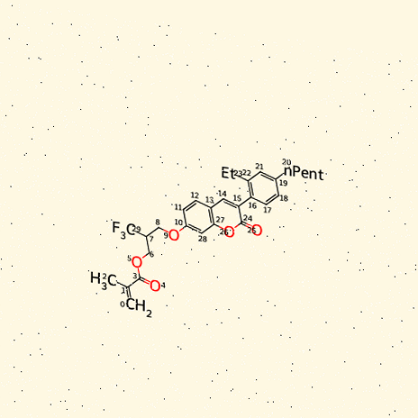 C=C(C)C(=O)OCC(COc1ccc2cc(-c3ccc(CCCCC)cc3CC)c(=O)oc2c1)C(F)(F)F